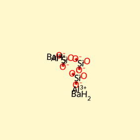 O=[Si]([O-])[O-].O=[Si]([O-])[O-].O=[Si]([O-])[O-].[Al+3].[Al+3].[BaH2].[BaH2]